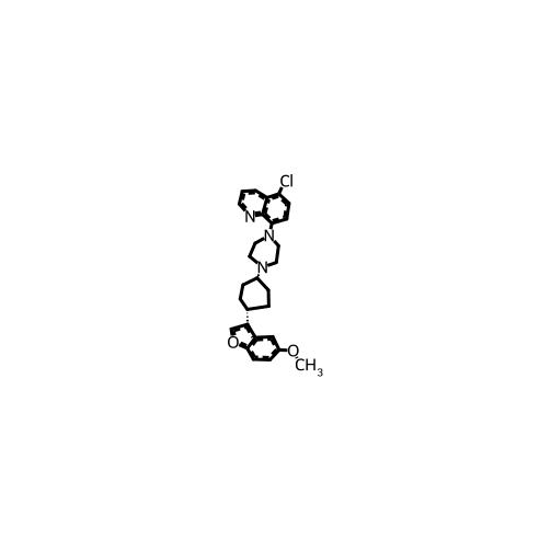 COc1ccc2occ([C@H]3CC[C@@H](N4CCN(c5ccc(Cl)c6cccnc56)CC4)CC3)c2c1